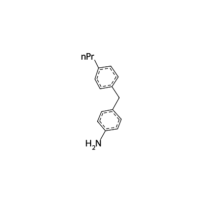 CCCc1ccc(Cc2ccc(N)cc2)cc1